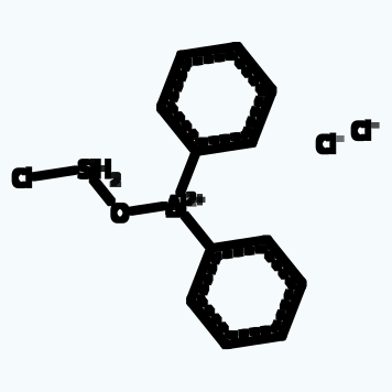 Cl[SiH2][O][Al+2]([c]1ccccc1)[c]1ccccc1.[Cl-].[Cl-]